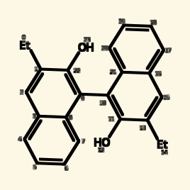 CCc1cc2ccccc2c(-c2c(O)c(CC)cc3ccccc23)c1O